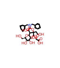 O=C(O)COC(=O)C(CC(=O)O)(OC(=O)N(Cc1ccccc1)Cc1ccccc1)C(C(=O)O)C1O[C@H](CO)[C@@H](O)[C@H](O)[C@H]1O